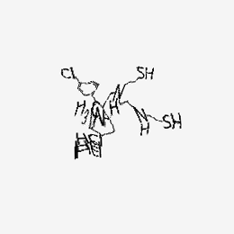 CN1C2CC[C@@H]1C(CN(CCS)CCNCCS)C(c1ccc(Cl)cc1)C2.Cl.Cl.Cl